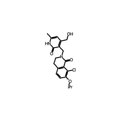 Cc1cc(CO)c(CN2CCc3ccc(OC(C)C)c(Cl)c3C2=O)c(=O)[nH]1